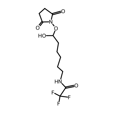 O=C1CCC(=O)N1OC(O)CCCCCNC(=O)C(F)(F)F